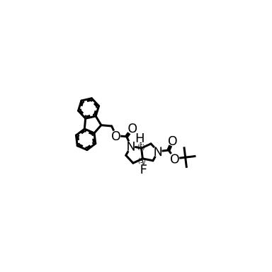 CC(C)(C)OC(=O)N1C[C@@H]2N(C(=O)OCC3c4ccccc4-c4ccccc43)CC[C@]2(F)C1